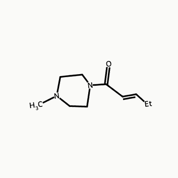 CCC=CC(=O)N1CCN(C)CC1